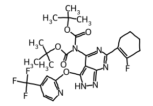 CC(C)(C)OC(=O)N(C(=O)OC(C)(C)C)c1nc(C2=C(F)CCCC2)nc2n[nH]c(Oc3cc(C(F)(F)F)ccn3)c12